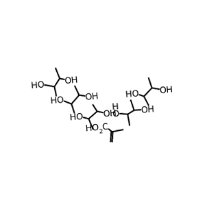 C=C(C)C(=O)O.CC(O)C(C)O.CC(O)C(C)O.CC(O)C(C)O.CC(O)C(C)O.CC(O)C(C)O